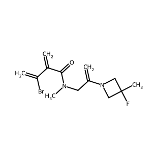 C=C(Br)C(=C)C(=O)N(C)CC(=C)N1CC(C)(F)C1